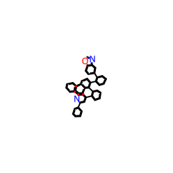 c1ccc(-c2cc(-c3ccccc3-c3c(-c4ccccc4-c4ccc5ocnc5c4)ccc4ccccc34)cc(-c3ccccc3)n2)cc1